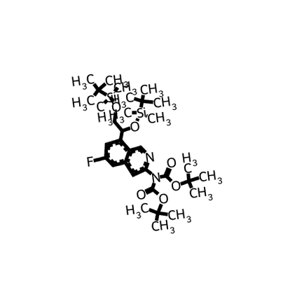 CC(C)(C)OC(=O)N(C(=O)OC(C)(C)C)c1cc2cc(F)cc(C(CO[Si](C)(C)C(C)(C)C)O[Si](C)(C)C(C)(C)C)c2cn1